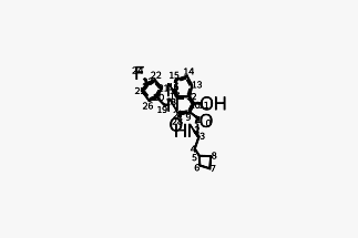 O=C(NCCC1CCC1)c1c(O)c2cccnc2n(Cc2ccc(F)cc2)c1=O